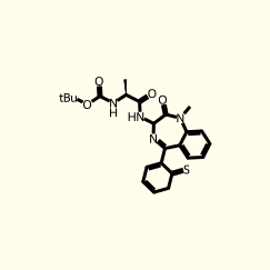 C[C@H](NC(=O)OC(C)(C)C)C(=O)NC1N=C(C2=CC=CCC2=S)c2ccccc2N(C)C1=O